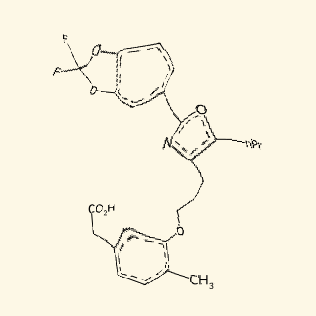 CCCc1oc(-c2ccc3c(c2)OC(F)(F)O3)nc1CCOc1cc(CC(=O)O)ccc1C